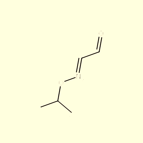 CC(C)ON=CC=O